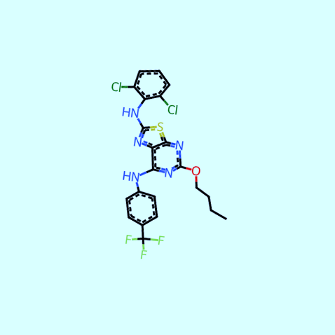 CCCCOc1nc(Nc2ccc(C(F)(F)F)cc2)c2nc(Nc3c(Cl)cccc3Cl)sc2n1